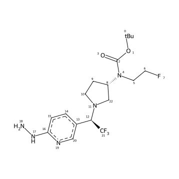 CC(C)(C)OC(=O)N(CCF)[C@H]1CCN([C@H](c2ccc(NN)nc2)C(F)(F)F)C1